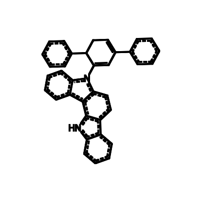 C1=C(c2ccccc2)C=C(n2c3ccccc3c3c4[nH]c5ccccc5c4ccc32)C(c2ccccc2)C1